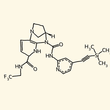 C[Si](C)(C)C#Cc1ccnc(NC(=O)N2C3=C(C=CC(C(=O)NCC(F)(F)F)N3)N3CC[C@H]2C3)c1